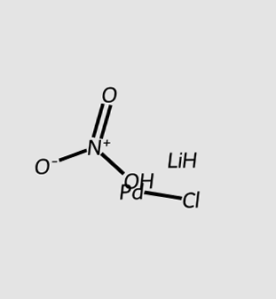 O=[N+]([O-])O.[Cl][Pd].[LiH]